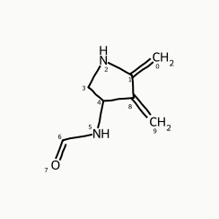 C=C1NCC(NC=O)C1=C